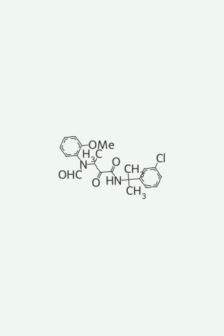 COc1ccccc1N(C=O)C(C)C(=O)C(=O)NC(C)(C)c1cccc(Cl)c1